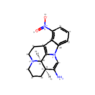 NC1=Cn2c3c(c4c([N+](=O)[O-])cccc42)CCN2CCC[C@H]1[C@H]32